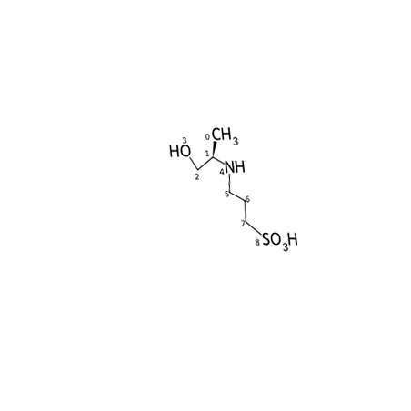 C[C@H](CO)NCCCS(=O)(=O)O